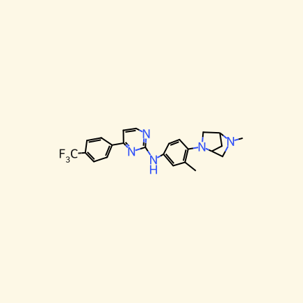 Cc1cc(Nc2nccc(-c3ccc(C(F)(F)F)cc3)n2)ccc1N1CC2CC1CN2C